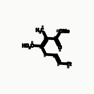 CCC=CCC(C(=O)O)=C(C)C(=O)OC